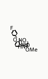 COC(=O)NNc1cccc(OCc2ccc(F)cc2)c1[N+](=O)[O-]